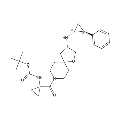 CC(C)(C)OC(=O)NC1(C(=O)N2CCC3(CC2)CC(N[C@@H]2C[C@H]2c2ccccc2)CO3)CC1